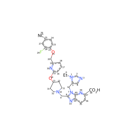 CCn1cncc1Cn1c(CN2CCC(Oc3cccc(COc4ccc(C#N)cc4F)n3)CC2)nc2ccc(C(=O)O)nc21